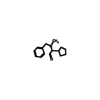 CN(Cc1ccccc1)C(C=O)C1CCCC1